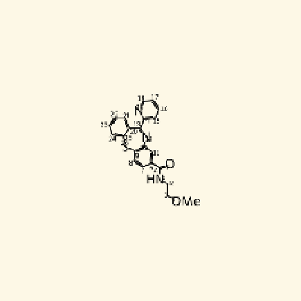 COCCNC(=O)c1ccc2c(c1)N=C(c1ccccn1)c1ccccc1S2